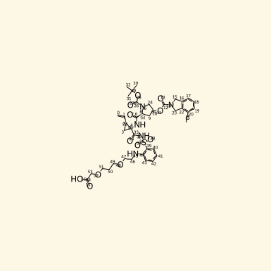 C=C[C@@H]1C[C@]1(NC(=O)[C@@H]1C[C@@H](OC(=O)N2Cc3cccc(F)c3C2)CN1C(=O)OC(C)(C)C)C(=O)NS(=O)(=O)c1ccccc1NCCOCCCOCC(=O)O